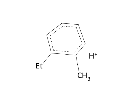 [CH2]Cc1ccccc1C.[H+]